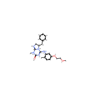 COCCOc1ccc(C)c(NC2=NC(=O)N(C)C3=NCC(Cc4ccccc4)N23)c1